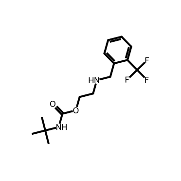 CC(C)(C)NC(=O)OCCNCc1ccccc1C(F)(F)F